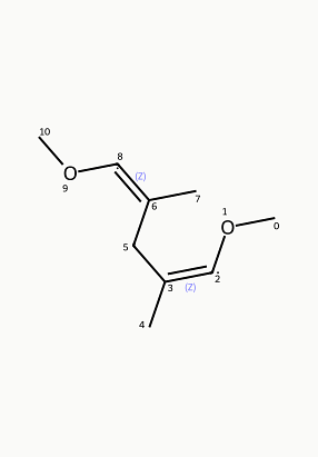 CO/[C]=C(/C)C/C(C)=[C]\OC